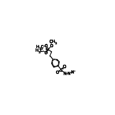 CO[Si](CCc1ccc(S(=O)(=O)N=[N+]=[N-])cc1)(OC)OC